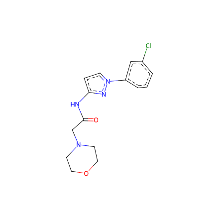 O=C(CN1CCOCC1)Nc1ccn(-c2cccc(Cl)c2)n1